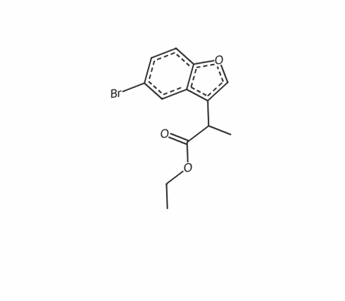 CCOC(=O)C(C)c1coc2ccc(Br)cc12